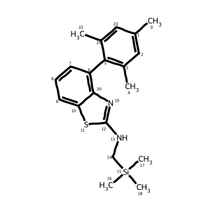 Cc1cc(C)c(-c2cccc3sc(NC[Si](C)(C)C)nc23)c(C)c1